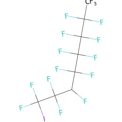 FC(C(F)(F)C(F)(F)I)C(F)(F)C(F)(F)C(F)(F)C(F)(F)C(F)(F)F